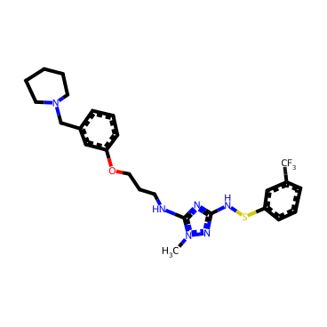 Cn1nc(NSc2cccc(C(F)(F)F)c2)nc1NCCCOc1cccc(CN2CCCCC2)c1